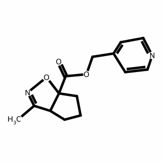 CC1=NOC2(C(=O)OCc3ccncc3)CCCC12